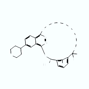 C[C@H]1Nc2nnc(c3ccc(C4CCOCC4)cc23)OCCCCCCCOCC(F)(F)c2cccc1c2F